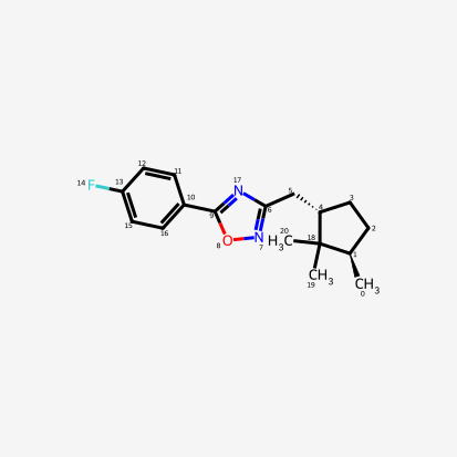 C[C@@H]1CC[C@@H](Cc2noc(-c3ccc(F)cc3)n2)C1(C)C